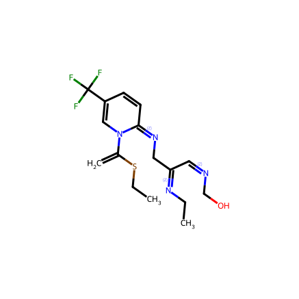 C=C(SCC)n1cc(C(F)(F)F)cc/c1=N/CC(/C=N\CO)=N/CC